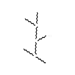 CCCCCCCCN(CCCCCCCC)C(=O)CCCCCCCN(CCCCCCO)CCCCCCCC(=O)N(CCCCCCCC)CCCCCCCC